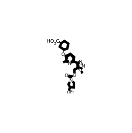 CCCC1CCN(C(=O)OCc2c(-c3ccc(O[C@H]4CCC[C@H](C(=O)O)C4)c(C)n3)nnn2C)C1